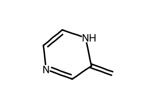 C=C1C=NC=CN1